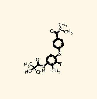 Cc1c(NC(=O)[C@@](C)(O)C(F)(F)F)ccc(Sc2ccc(C(=O)N(C)C)cc2)c1F